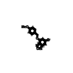 COc1ccc(COc2cc(Br)cc3nonc23)cc1